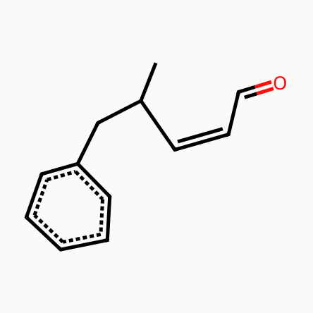 CC(/C=C\C=O)Cc1ccccc1